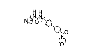 CC(C)(NC(=O)NC1(C)CN2CCC1CC2)c1ccc(-c2ccc(C(=O)N3CCOCC3)cc2)cc1